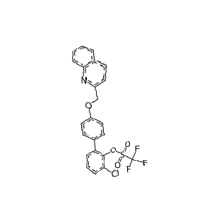 O=S(=O)(Oc1c(Cl)cccc1-c1ccc(OCc2ccc3ccccc3n2)cc1)C(F)(F)F